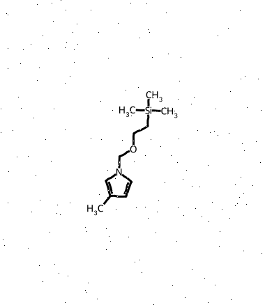 Cc1ccn(COCC[Si](C)(C)C)c1